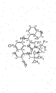 CC(C)(C)CNc1c(C#N)cnc2c(Cl)cc(N[C@H](c3cn(C4(C(F)(F)F)CC4)nn3)c3cccc4ncsc34)cc12